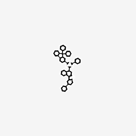 c1ccc(-c2ccc3oc4cc(-c5nc(-c6ccccc6)nc(-c6ccc7c(c6)C(c6ccccc6)(c6ccccc6)c6ccccc6-7)n5)c5ccccc5c4c3c2)cc1